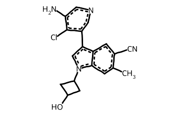 Cc1cc2c(cc1C#N)c(-c1cncc(N)c1Cl)cn2C1CC(O)C1